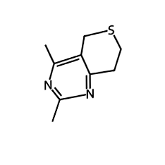 Cc1nc(C)c2c(n1)CCSC2